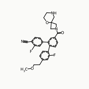 COCCc1ccc(-c2ccc(C(=O)N3CC4(CNCCO4)C3)cc2-c2ccc(C#N)c(F)c2)c(F)c1